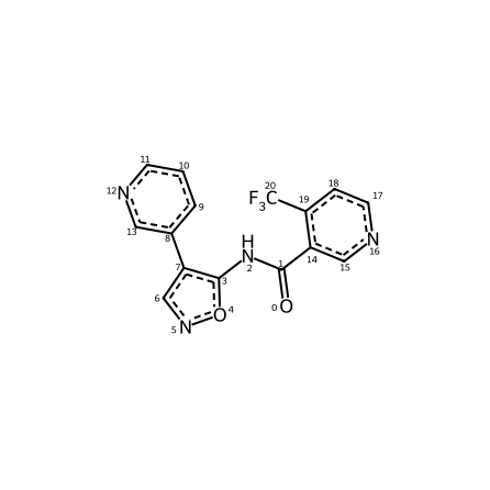 O=C(Nc1oncc1-c1cccnc1)c1cnccc1C(F)(F)F